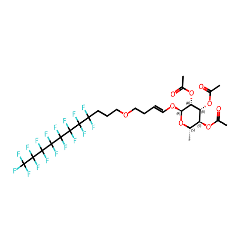 CC(=O)O[C@@H]1[C@@H](OC(C)=O)[C@H](C)O[C@@H](OC=CCCOCCCC(F)(F)C(F)(F)C(F)(F)C(F)(F)C(F)(F)C(F)(F)C(F)(F)C(F)(F)F)[C@@H]1OC(C)=O